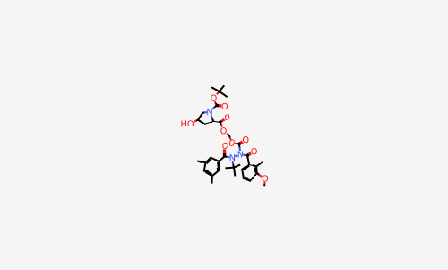 COc1cccc(C(=O)N(C(=O)OCOC(=O)C2CC(O)CN2C(=O)OC(C)(C)C)N(C(=O)c2cc(C)cc(C)c2)C(C)(C)C)c1C